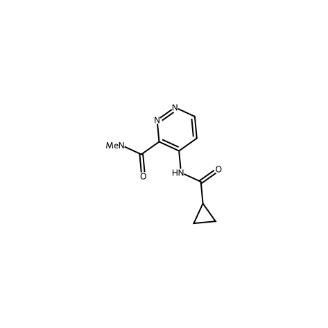 CNC(=O)c1nnccc1NC(=O)C1CC1